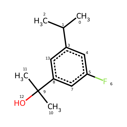 CC(C)c1cc(F)cc(C(C)(C)O)c1